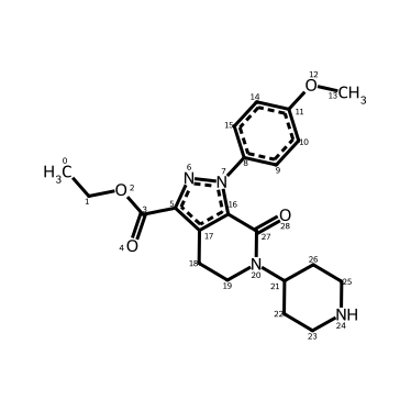 CCOC(=O)c1nn(-c2ccc(OC)cc2)c2c1CCN(C1CCNCC1)C2=O